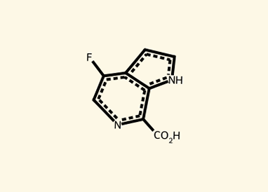 O=C(O)c1ncc(F)c2cc[nH]c12